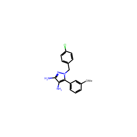 COc1cccc(-c2c(N)c(N)nn2Cc2ccc(Cl)cc2)c1